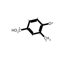 Cc1cc(C(=O)O)ccc1[O]